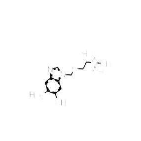 Cc1cc2ncn(COCC[Si](C)(C)C)c2cc1C